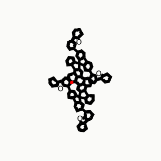 c1ccc2c(c1)-c1c(cc3c4cccc5c6c(cc(c7cccc1c73)c54)C1(c3cc(-c4cccc5c4oc4ccccc45)ccc3-c3ccc(-c4cccc5c4oc4ccccc45)cc31)c1ccccc1-6)C21c2cc(-c3cccc4c3oc3ccccc34)ccc2-c2ccc(-c3cccc4c3oc3ccccc34)cc21